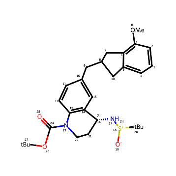 COc1cccc2c1CC(Cc1ccc3c(c1)[C@H](N[S@+]([O-])C(C)(C)C)CCN3C(=O)OC(C)(C)C)C2